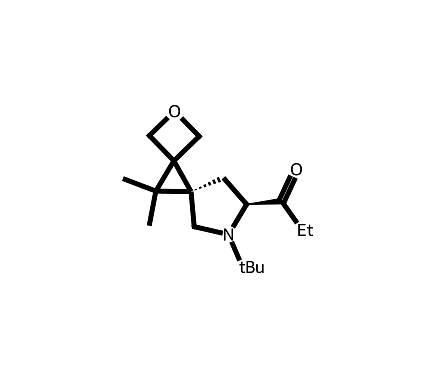 CCC(=O)[C@@H]1C[C@]2(CN1C(C)(C)C)C(C)(C)C21COC1